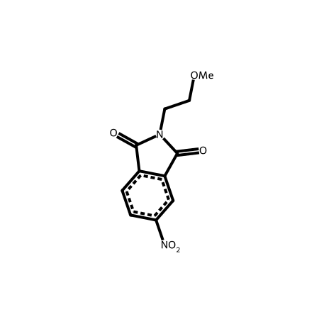 COCCN1C(=O)c2ccc([N+](=O)[O-])cc2C1=O